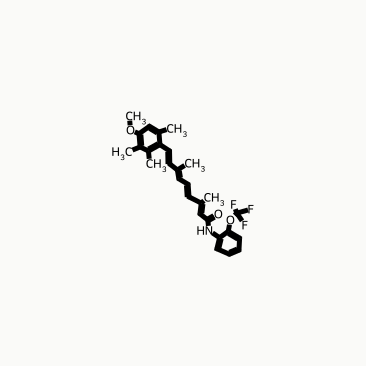 COc1cc(C)c(C=C/C(C)=C/C=C/C(C)=C/C(=O)Nc2ccccc2OC(F)(F)F)c(C)c1C